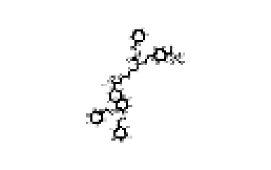 CCC[C@](N)(CCCCCN(CCc1ccc(NS(C)(=O)=O)cc1)C(=O)OCc1ccccc1)C1CCc2c(ccc(OCc3ccccc3)c2OCc2ccccc2)C1